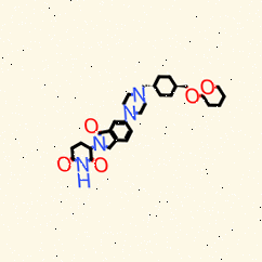 O=C1CCC(N2Cc3ccc(N4CCN(C[C@H]5CC[C@H](COC6CCCCO6)CC5)CC4)cc3C2=O)C(=O)N1